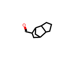 O=[C]C1CC2CC1C1CCCC21